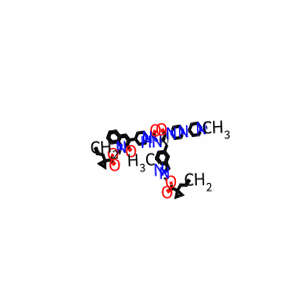 C=CCC1(C(=O)OCn2cc3cc(C[C@@H](NC(=O)N4CCC(c5cc6ccccc6n(COC(=O)C6(CC=C)CC6)c5=O)CC4)C(=O)N4CCN(C5CCN(C)CC5)CC4)cc(C)c3n2)CC1